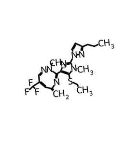 C=C1/C=C(C(F)(F)F)\C=N/N(C)/C(c2nc(-n3ccc(CCC)n3)n(C)c2SCC)=N\1